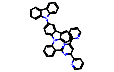 c1ccc(-c2cc(-c3ccccn3)nc(-c3ccccc3-n3c4ccccc4c4cc(-n5c6ccccc6c6ccccc65)ccc43)n2)nc1